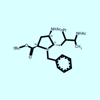 CCCC(C[C@H]1[C@H](NC(C)=O)C[C@H](C(=O)OC(C)(C)C)N1Cc1ccccc1)C(C)NC(C)=O